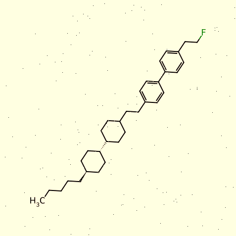 CCCCC[C@H]1CC[C@H](C2CCC(CCc3ccc(-c4ccc(CCF)cc4)cc3)CC2)CC1